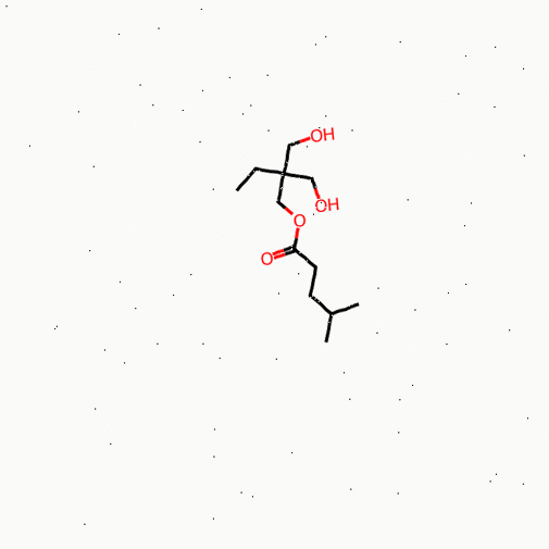 CCC(CO)(CO)COC(=O)CCC(C)C